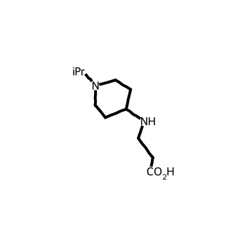 CC(C)N1CCC(NCCC(=O)O)CC1